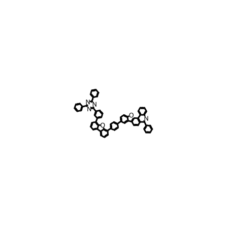 c1ccc(-c2nc(-c3ccccc3)nc(-c3cccc(-c4cccc5c4oc4c(-c6ccc(-c7ccc8oc9c(ccc%10c(-c%11ccccc%11)nc%11ccccc%11c%109)c8c7)cc6)cccc45)c3)n2)cc1